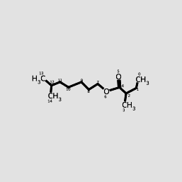 CCC(C)C(=O)OCCCCCC(C)C